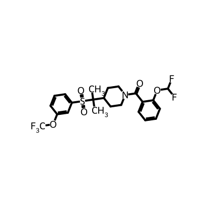 CC(C)(C1CCN(C(=O)c2ccccc2OC(F)F)CC1)S(=O)(=O)c1cccc(OC(F)(F)F)c1